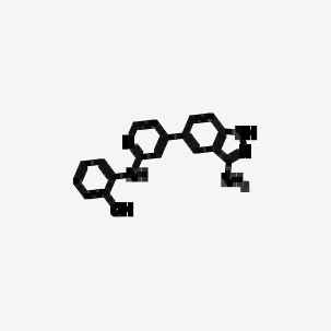 Nc1n[nH]c2ccc(-c3ccnc(Nc4ccccc4O)c3)cc12